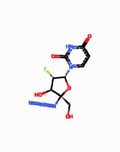 [N-]=[N+]=N[C@]1(CO)O[C@@H](n2ccc(=O)[nH]c2=O)[C@@H](F)[C@@H]1O